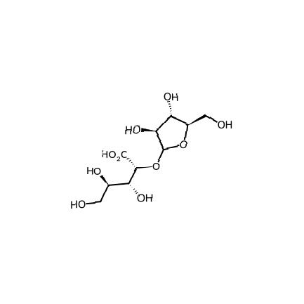 O=C(O)[C@H](OC1O[C@H](CO)[C@@H](O)[C@@H]1O)[C@H](O)[C@H](O)CO